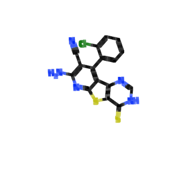 N#Cc1c(N)nc2sc3c(=S)[nH]cnc3c2c1-c1ccccc1Cl